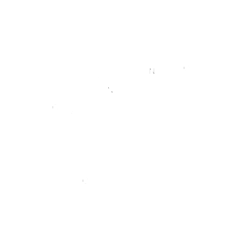 COc1ccc(C(=O)c2c(Cc3ccccc3)n(CCN3CCOCC3)c3ccccc23)cc1